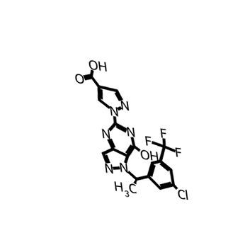 C[C@H](c1cc(Cl)cc(C(F)(F)F)c1)n1ncc2nc(-n3cc(C(=O)O)cn3)nc(O)c21